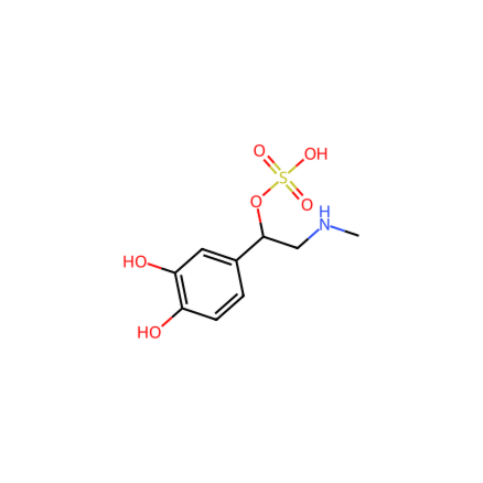 CNCC(OS(=O)(=O)O)c1ccc(O)c(O)c1